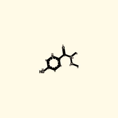 CON(C)C(=O)c1ccc(O)cn1